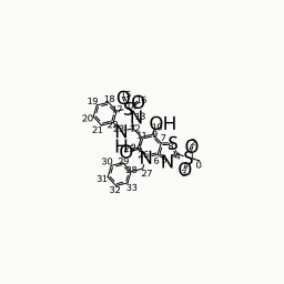 CS(=O)(=O)c1nc2c(s1)c(O)c(C1=NS(=O)(=O)c3ccccc3N1)c(=O)n2Cc1ccccc1